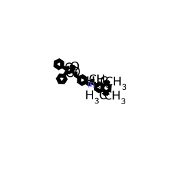 C/C(=C\c1ccc(COP(=O)(OCc2ccccc2)OCc2ccccc2)cc1)c1ccc2c(c1)C(C)(C)CCC2(C)C